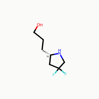 OCCC[C@H]1CC(F)(F)CN1